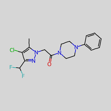 Cc1c(Cl)c(C(F)F)nn1CC(=O)N1CCN(c2ccccc2)CC1